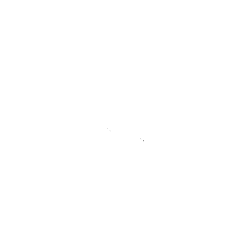 C=CNc1ccccc1N(C)C